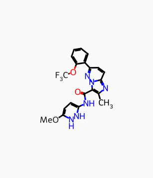 COC1=CC=C(NC(=O)c2c(C)nc3ccc(-c4ccccc4OC(F)(F)F)nn23)NN1